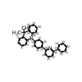 CC1(C)c2ccccc2N(c2ccc(-c3cccc(-c4ccccc4)n3)cc2)c2ccccc21